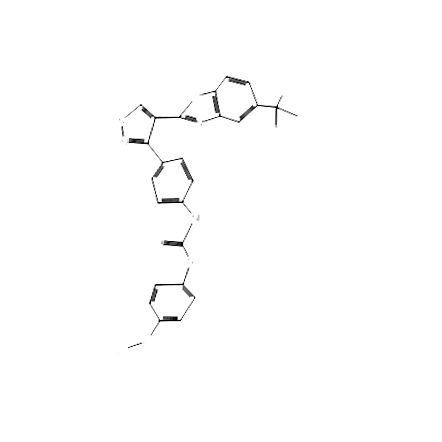 COc1ccc(NC(=O)Nc2ccc(-c3n[nH]cc3-c3nc4cc(C(C)(C)C)ccc4o3)cc2)cc1